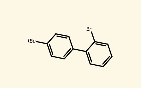 CC(C)(C)c1ccc(-c2ccccc2Br)cc1